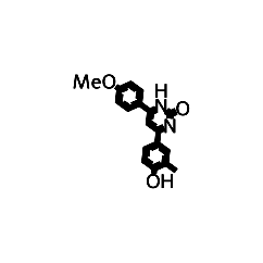 COc1ccc(-c2cc(-c3ccc(O)c(C)c3)nc(=O)[nH]2)cc1